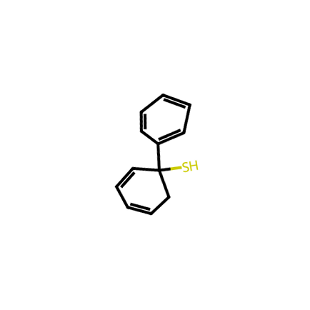 SC1(c2ccccc2)C=CC=CC1